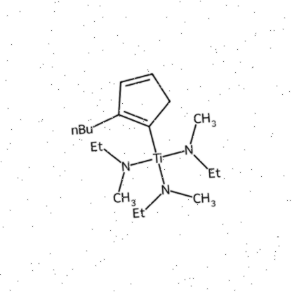 CCCCC1=[C]([Ti]([N](C)CC)([N](C)CC)[N](C)CC)CC=C1